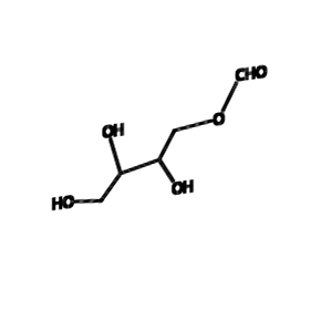 O=COCC(O)C(O)CO